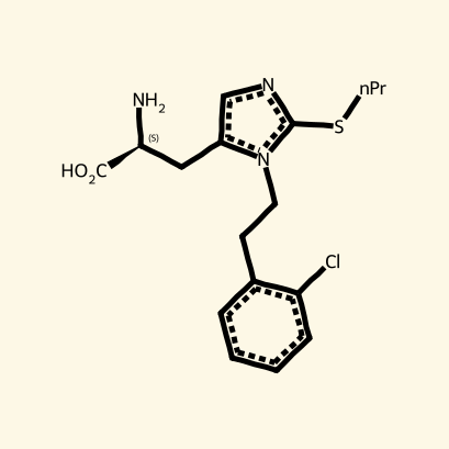 CCCSc1ncc(C[C@H](N)C(=O)O)n1CCc1ccccc1Cl